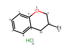 CCC1COc2ccccc2C1.Cl